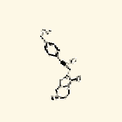 Cl.O=C1N(CC#Cc2ccc(CO)cc2)CC2CNCCN12